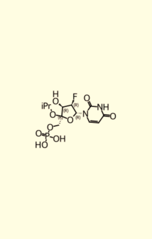 CC(C)O[C@]1(COP(=O)(O)O)O[C@@H](n2ccc(=O)[nH]c2=O)[C@H](F)[C@@H]1O